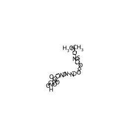 CN(C)c1ccc(-c2nc3ccc(OC4CC(OC5CCN(CCN6CCN(c7ccc8c(c7)C(=O)N(C7CCC(=O)NC7=O)C8=O)CC6)CC5)C4)cc3s2)cc1